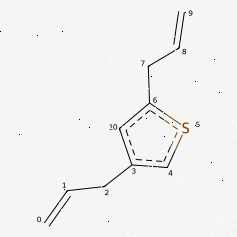 C=CCc1csc(CC=C)c1